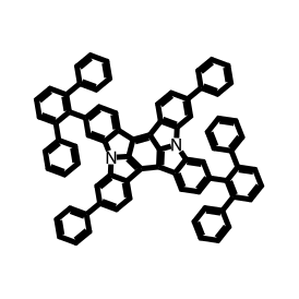 c1ccc(-c2ccc3c4c5c6ccc(-c7c(-c8ccccc8)cccc7-c7ccccc7)cc6n6c7cc(-c8ccccc8)ccc7c(c7c8ccc(-c9c(-c%10ccccc%10)cccc9-c9ccccc9)cc8n(c3c2)c47)c56)cc1